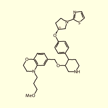 COCCCN1CCOc2ccc(COC3CNCCC3c3ccc(O[C@H]4CCN(c5nccs5)C4)cc3)cc21